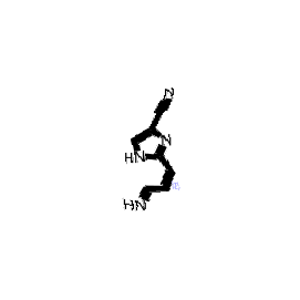 N#Cc1c[nH]c(/C=C\C=N)n1